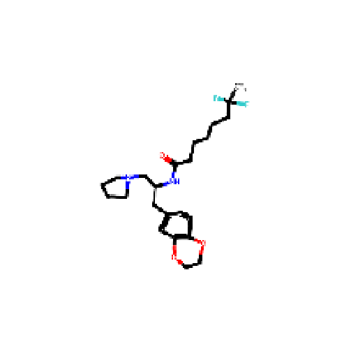 O=C(CCCCCC(F)(F)C(F)(F)F)N[C@@H](Cc1ccc2c(c1)OCCO2)CN1CCCC1